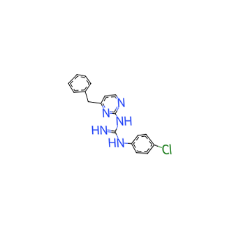 N=C(Nc1ccc(Cl)cc1)Nc1nccc(Cc2ccccc2)n1